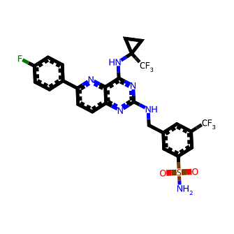 NS(=O)(=O)c1cc(CNc2nc(NC3(C(F)(F)F)CC3)c3nc(-c4ccc(F)cc4)ccc3n2)cc(C(F)(F)F)c1